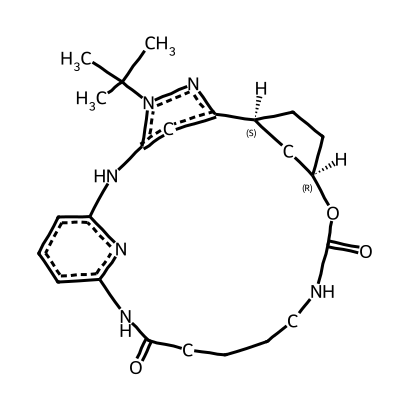 CC(C)(C)n1nc2cc1Nc1cccc(n1)NC(=O)CCCCNC(=O)O[C@@H]1CC[C@H]2C1